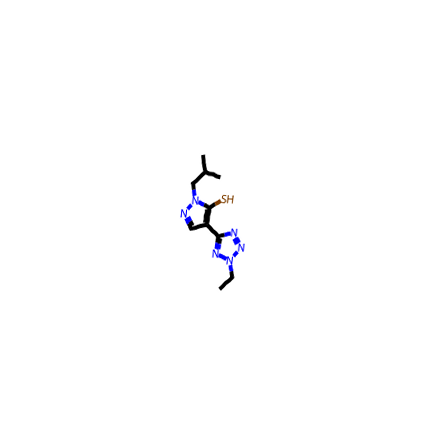 CCn1nnc(-c2cnn(CC(C)C)c2S)n1